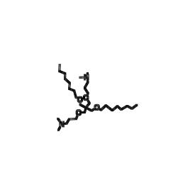 CCCCCCCCOCC(COCCCCCCCC)(COCCCN(C)C)COCCCN(C)C